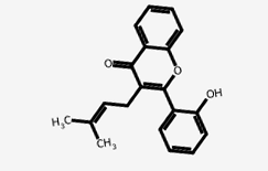 CC(C)=CCc1c(-c2ccccc2O)oc2ccccc2c1=O